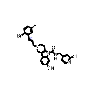 N#Cc1ccc2c3c(n(C(=O)NCc4ccnc(Cl)c4)c2c1)CCN(C/C=C/c1cc(F)ccc1Br)C3